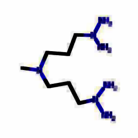 CN(CCCN(N)N)CCCN(N)N